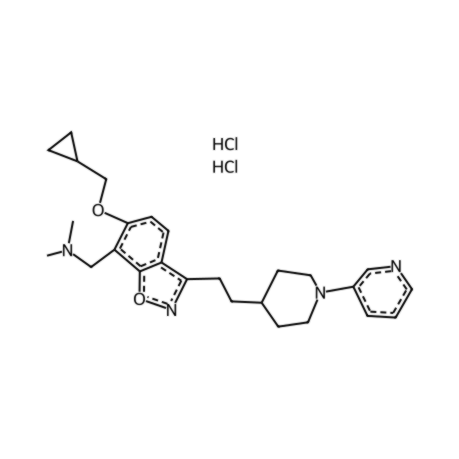 CN(C)Cc1c(OCC2CC2)ccc2c(CCC3CCN(c4cccnc4)CC3)noc12.Cl.Cl